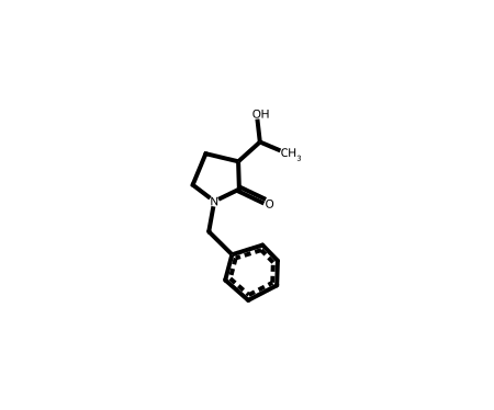 CC(O)C1CCN(Cc2ccccc2)C1=O